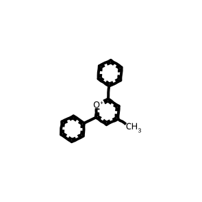 Cc1cc(-c2ccccc2)[o+]c(-c2ccccc2)c1